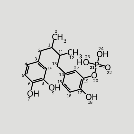 CC(Cc1ccc(O)c(O)c1)C(C)Cc1ccc(O)c(OP(=O)(O)O)c1